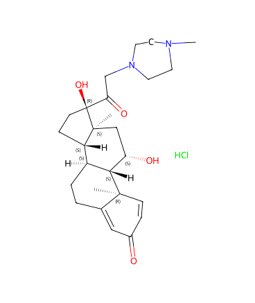 CN1CCN(CC(=O)[C@@]2(O)CC[C@H]3[C@@H]4CCC5=CC(=O)C=C[C@]5(C)[C@H]4[C@@H](O)C[C@@]32C)CC1.Cl